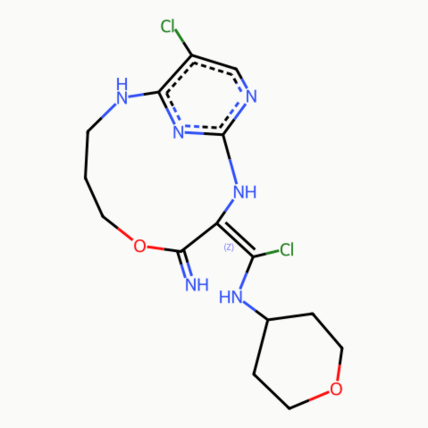 N=C1OCCCNc2nc(ncc2Cl)N/C1=C(\Cl)NC1CCOCC1